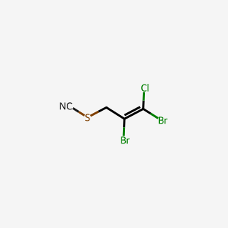 N#CSC/C(Br)=C(\Cl)Br